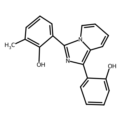 Cc1cccc(-c2nc(-c3ccccc3O)c3ccccn23)c1O